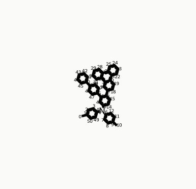 Cc1ccc(N(c2ccc(C)cc2)c2ccc(-c3ccc4c5ccccc5c5ccccc5c4c3)c(-c3ccc(-c4ccccc4)cc3)c2)cc1